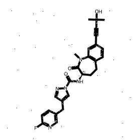 CN1C(=O)[C@H](NC(=O)n2cc(Cc3ccc(F)nc3)cn2)CCc2ccc(C#CC(C)(C)O)cc21